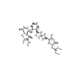 CCN(CC)C[C@@H](O)C[C@H](C(C)C)N1CC2(CCN(c3ncnnc3Oc3ccc(F)cc3C(=O)N(CC)C(C)C)C2)C1